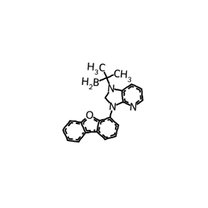 BC(C)(C)N1CN(c2cccc3c2oc2ccccc23)c2ncccc21